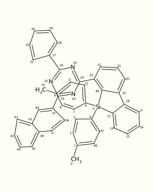 Cc1ccc([Si]2(c3ccc(C)cc3)c3ccccc3-c3cccc(-c4nc(-c5ccccc5)nc(-c5ccc6ccccc6c5)n4)c32)cc1